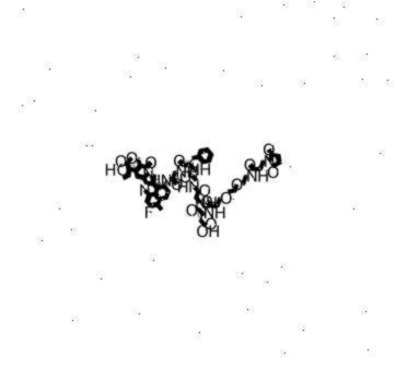 CC[C@@]1(O)C(=O)OCc2c1cc1n(c2=O)Cc2c-1nc1cc(F)c(C)c3c1c2[C@@H](NC(=O)CNC(=O)[C@H](Cc1ccccc1)NC(=O)CNC(=O)CNC(=O)[C@H](CC(=O)O)NC(=O)CCOCCOCCNC(=O)CCN1C(=O)C=CC1=O)CC3